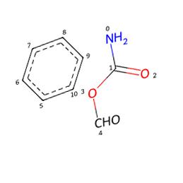 NC(=O)OC=O.c1ccccc1